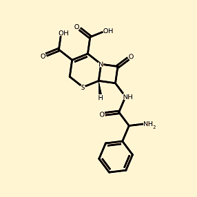 NC(C(=O)NC1C(=O)N2C(C(=O)O)=C(C(=O)O)CS[C@@H]12)c1ccccc1